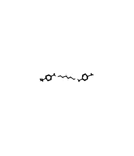 O=C(NC[C@@H](O)[C@@H](O)[C@H](O)[C@H](O)CNC(=O)c1ccc(C2(C(F)(F)F)N=N2)cc1)c1ccc(C2(C(F)(F)F)N=N2)cc1